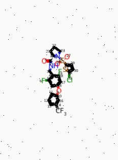 O=C(NCc1c(F)cc(Oc2cccc(C(F)(F)F)c2)cc1F)[C@@H]1CCCN1S(=O)(=O)c1ccc(Cl)s1